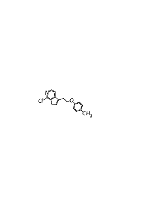 Cc1ccc(OCCC2=CCc3c2ccnc3Cl)cc1